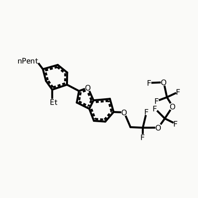 CCCCCc1ccc(-c2cc3ccc(OCC(F)(F)OC(F)(F)OC(F)(F)OF)cc3o2)c(CC)c1